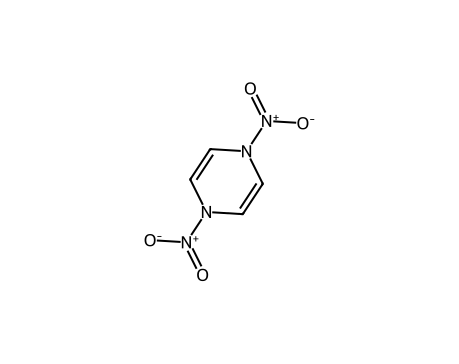 O=[N+]([O-])N1C=CN([N+](=O)[O-])C=C1